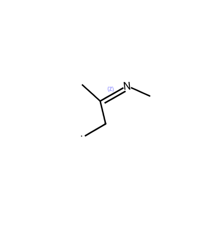 [CH2]C/C(C)=N\C